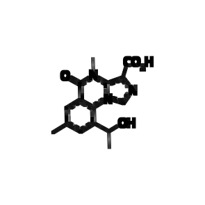 Cc1cc(C(C)O)c2c(c1)c(=O)n(C)c1c(C(=O)O)ncn21